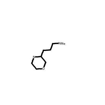 CNCCCC1COCC[N]1